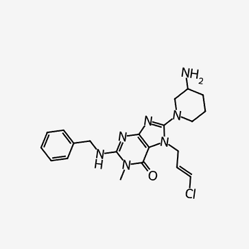 Cn1c(NCc2ccccc2)nc2nc(N3CCCC(N)C3)n(CC=CCl)c2c1=O